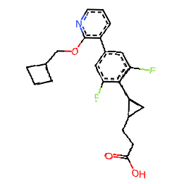 O=C(O)CCC1CC1c1c(F)cc(-c2cccnc2OCC2CCC2)cc1F